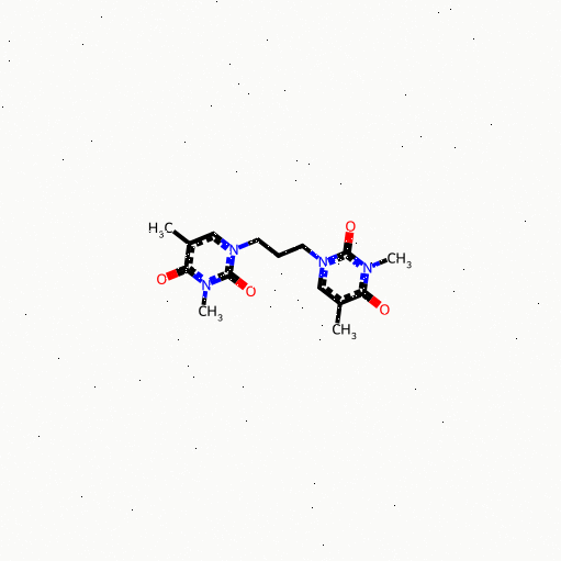 Cc1cn(CCCn2cc(C)c(=O)n(C)c2=O)c(=O)n(C)c1=O